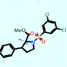 COC(=O)[C@]1(C)C(c2ccccc2)CCN1S(=O)(=O)c1cc(Cl)cc(Cl)c1